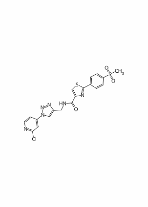 CS(=O)(=O)c1ccc(-c2nc(C(=O)NCc3cn(-c4ccnc(Cl)c4)nn3)cs2)cc1